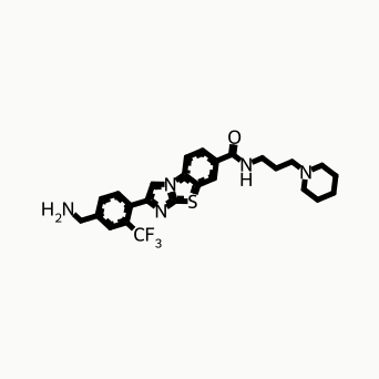 NCc1ccc(-c2cn3c(n2)sc2cc(C(=O)NCCCN4CCCCC4)ccc23)c(C(F)(F)F)c1